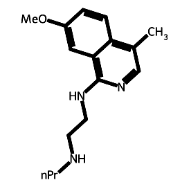 CCCNCCNc1ncc(C)c2ccc(OC)cc12